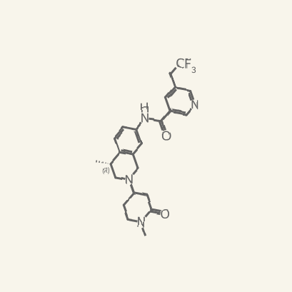 C[C@H]1CN(C2CCN(C)C(=O)C2)Cc2cc(NC(=O)c3cncc(CC(F)(F)F)c3)ccc21